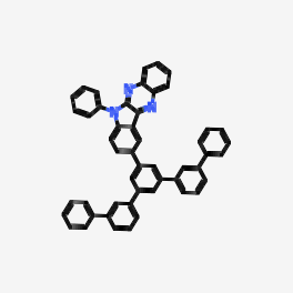 c1ccc(-c2cccc(-c3cc(-c4cccc(-c5ccccc5)c4)cc(-c4ccc5c(c4)c4nc6ccccc6nc4n5-c4ccccc4)c3)c2)cc1